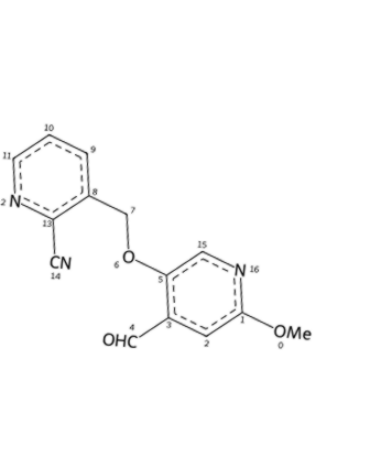 COc1cc(C=O)c(OCc2cccnc2C#N)cn1